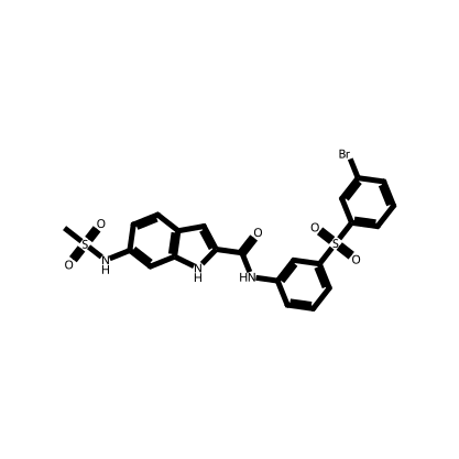 CS(=O)(=O)Nc1ccc2cc(C(=O)Nc3cccc(S(=O)(=O)c4cccc(Br)c4)c3)[nH]c2c1